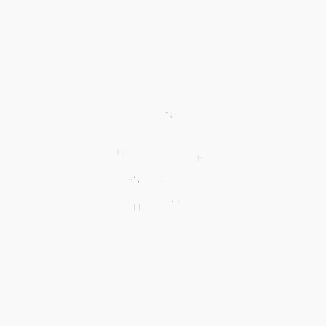 CNC(=O)C(C)CN.Cl